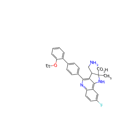 CCOc1ccccc1-c1ccc(-c2nc3ccc(F)cc3c3c2C(CN)C(C)(C(=O)O)N3)cc1